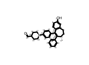 C[C@H]1CCc2cc(O)ccc2C(c2ccc(N3CCC(C=O)CC3)cc2)=C1c1ccccc1